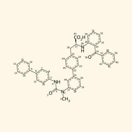 CN(C(=O)Nc1ccc(-c2ccccc2)cc1)c1cccc(-c2ccc(C[C@H](Nc3ccccc3C(=O)c3ccccc3)C(=O)O)cc2)c1